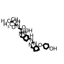 CC(C)(C)OC(=O)NCC(=O)N1N=Cc2ccc(Nc3ncc4cccc(O[C@H]5CC[C@@H](O)CC5)c4n3)cc2B1O